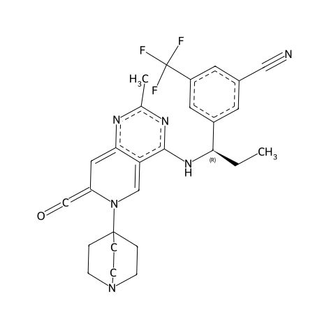 CC[C@@H](Nc1nc(C)nc2c1=CN(C13CCN(CC1)CC3)C(=C=O)C=2)c1cc(C#N)cc(C(F)(F)F)c1